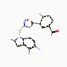 CCCc1cc2c(C(F)(F)F)c(N)ccc2n1Cc1noc(-c2cc(C(N)=O)ccc2Cl)n1